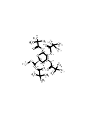 COC(=O)[C@H]1O[C@@H](OC(=O)C(C)(C)C)[C@H](OC(=O)C(C)(C)C)[C@@H](OC(=O)C(C)(C)C)[C@@H]1OC(=O)C(C)(C)C